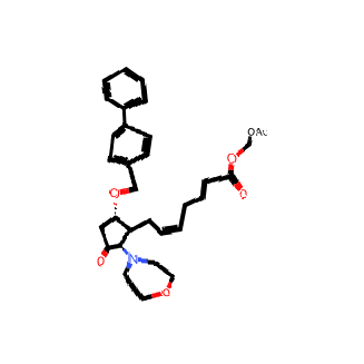 CC(=O)OCOC(=O)CCC/C=C\CC1[C@@H](OCc2ccc(-c3ccccc3)cc2)CC(=O)[C@@H]1N1CCOCC1